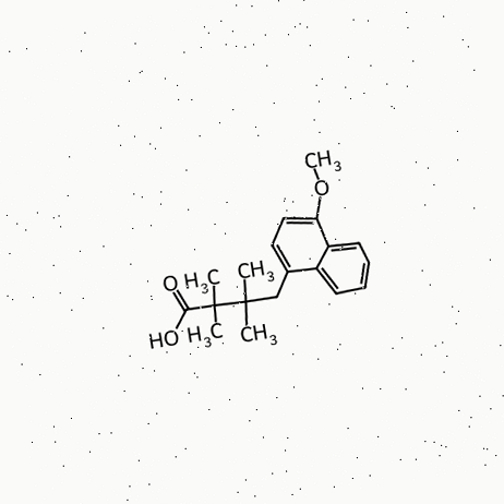 COc1ccc(CC(C)(C)C(C)(C)C(=O)O)c2ccccc12